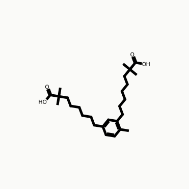 Cc1ccc(CCCCCCC(C)(C)C(=O)O)cc1CCCCCCC(C)(C)C(=O)O